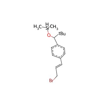 C[SiH](C)OC(c1ccc(C=CCBr)cc1)C(C)(C)C